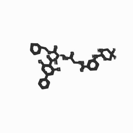 O=C(CNC(=O)c1cccc(NC2=NCC(F)(F)CN2)c1)NC[C@H](NC(=O)c1c(Cl)cc(-c2ccccc2)cc1Cl)C(=O)OCc1ccccc1